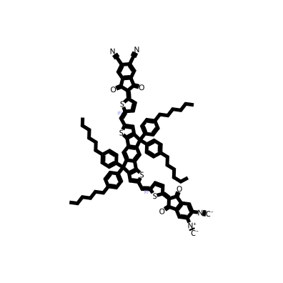 [C-]#[N+]c1cc2c(cc1[N+]#[C-])C(=O)C(=c1cc/c(=C\c3cc4c(s3)-c3cc5c(cc3C4(c3ccc(CCCCCC)cc3)c3ccc(CCCCCC)cc3)-c3sc(/C=c4\ccc(=C6C(=O)c7cc(C#N)c(C#N)cc7C6=O)s4)cc3C5(c3ccc(CCCCCC)cc3)c3ccc(CCCCCC)cc3)s1)C2=O